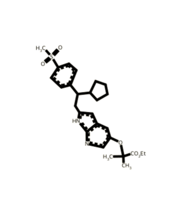 CCOC(=O)C(C)(C)Oc1cnc2[nH]c(CC(c3ccc(S(C)(=O)=O)cc3)C3CCCC3)cc2c1